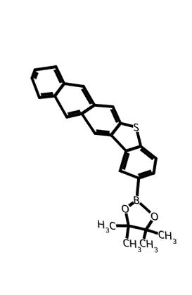 CC1(C)OB(c2ccc3sc4cc5cc6ccccc6cc5cc4c3c2)OC1(C)C